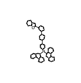 c1cc(-c2ccc(-c3ccc(N(c4cc5ccccc5c5ccccc45)c4cc5ccccc5c5ccccc45)cc3)cc2)cc(-c2cc3ccccc3o2)c1